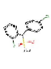 CCCCS(=O)(=O)C(c1ccc(Cl)cc1)c1ccccc1Cl